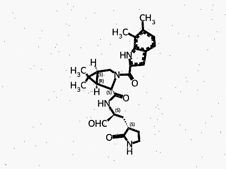 Cc1ccc2cc(C(=O)N3C[C@H]4[C@@H]([C@H]3C(=O)N[C@H](C=O)C[C@@H]3CCNC3=O)C4(C)C)[nH]c2c1C